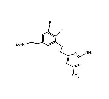 CNCCc1cc(F)c(F)c(CCc2cc(C)cc(N)n2)c1